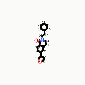 O=c1c2ccc(-c3ccoc3)cc2ccn1CCc1ccccc1